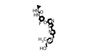 C[C@@H]1CN(Cc2ccc(-c3cc4nccc(Oc5ccc(NC(=O)NC6CC6)cc5F)c4s3)nc2)CCN1CCO